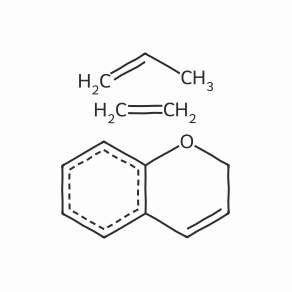 C1=Cc2ccccc2OC1.C=C.C=CC